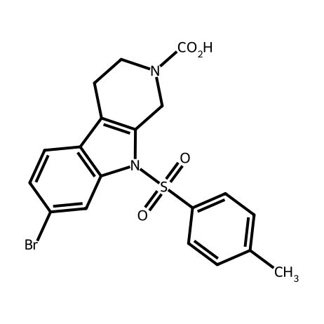 Cc1ccc(S(=O)(=O)n2c3c(c4ccc(Br)cc42)CCN(C(=O)O)C3)cc1